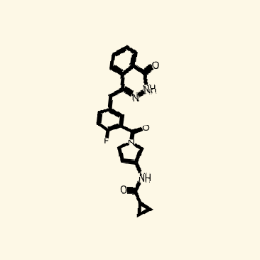 O=C(NC1CCN(C(=O)c2cc(Cc3n[nH]c(=O)c4ccccc34)ccc2F)C1)C1CC1